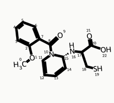 COc1ccccc1C(=O)N1C=CC=C[C@H]1NC(CS)C(=O)O